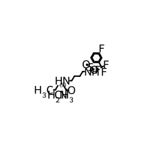 CC(C)C[C@H](NCCCCNS(=O)(=O)c1ccc(F)cc1C(F)(F)F)C(N)=O